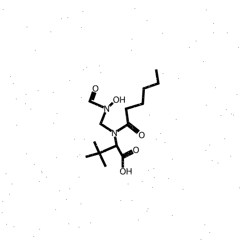 CCCCCC(=O)N(CN(O)C=O)C(C(=O)O)C(C)(C)C